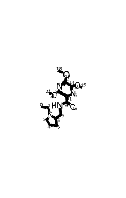 CCN1CCCC1CNC(=O)c1nc(OC)c(OC)nc1OC